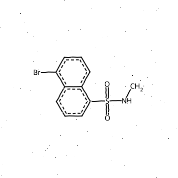 [CH2]NS(=O)(=O)c1cccc2c(Br)cccc12